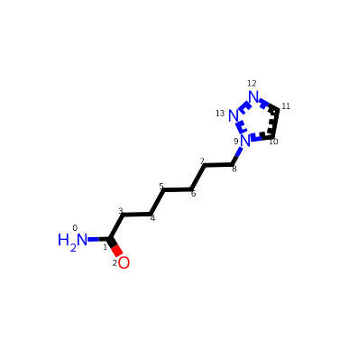 NC(=O)CCCCCCn1ccnn1